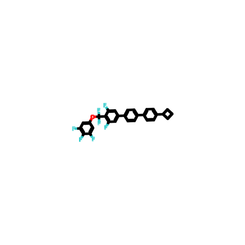 Fc1cc(OC(F)(F)c2c(F)cc(-c3ccc(-c4ccc(C5CCC5)cc4)cc3)cc2F)cc(F)c1F